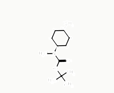 CN(C(=O)OC(C)(C)C)[C@H]1CC[C@H](C)CC1